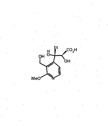 CC[C@](O)(c1ccnc(OC)c1CO)[C@H](O)C(=O)O